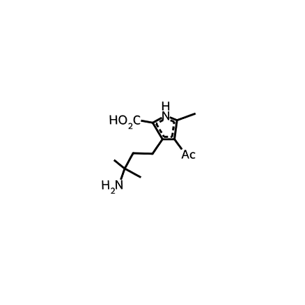 CC(=O)c1c(C)[nH]c(C(=O)O)c1CCC(C)(C)N